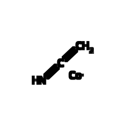 C=C=N.[Co]